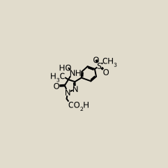 CC1(NO)C(=O)N(CC(=O)O)N=C1c1ccc(S(C)(=O)=O)cc1